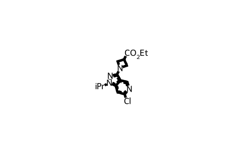 CCOC(=O)C1CN(c2nn(C(C)C)c3cc(Cl)ncc23)C1